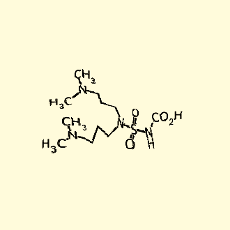 CN(C)CCCN(CCCN(C)C)S(=O)(=O)NC(=O)O